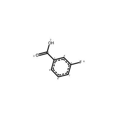 O=C(O)c1[c]c(F)ccc1